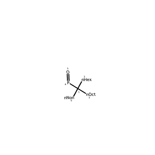 CCCCCCCCCC(CCCCCC)(CCCCCCCC)P=O